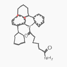 NC(=O)CCCCC(=O)N(c1ccccc1C1CCCCC1)c1ccccc1C1CCCCC1